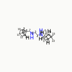 C[C@@H]1[C@@H](NCCNCC2CCC3C[C@@H]2C3(C)C)C[C@H]2C[C@@H]1C2(C)C